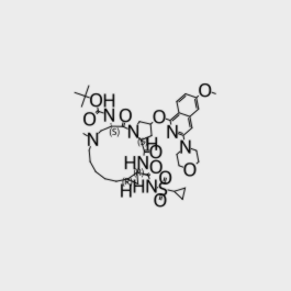 COc1ccc2c(OC3C[C@H]4C(=O)N[C@]5(C(=O)NS(=O)(=O)C6CC6)C[C@H]5CCCCCN(C)C[C@H](NC(=O)OC(C)(C)C)C(=O)N4C3)nc(N3CCOCC3)cc2c1